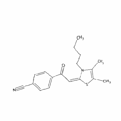 CCCCN1C(=CC(=O)c2ccc(C#N)cc2)SC(C)=C1C